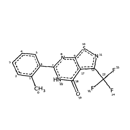 Cc1ccccc1-c1nc2snc(C(F)(F)F)c2c(=O)[nH]1